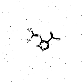 CC(C)=Nc1[nH]ncc1C(=O)O